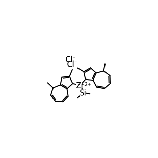 CC1=CC2=C(C=CC=CC2C)[CH]1[Zr+2]([CH]1C(C)=CC2=C1C=CC=CC2C)=[Si](C)C.[Cl-].[Cl-]